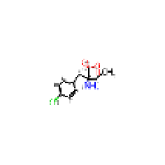 CCC(N)(Cc1ccc(Cl)cc1)C(=O)O